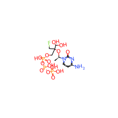 C[C@@H](OC(CF)(COP(=O)(O)OP(=O)(O)OP(=O)(O)O)C(O)O)n1ccc(N)nc1=O